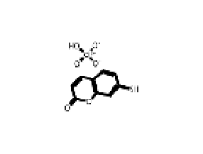 O=c1ccc2ccc(S)cc2o1.[O-][Cl+3]([O-])([O-])O